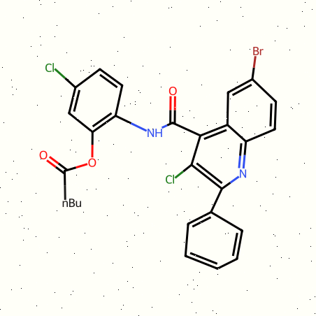 CCCCC(=O)Oc1cc(Cl)ccc1NC(=O)c1c(Cl)c(-c2ccccc2)nc2ccc(Br)cc12